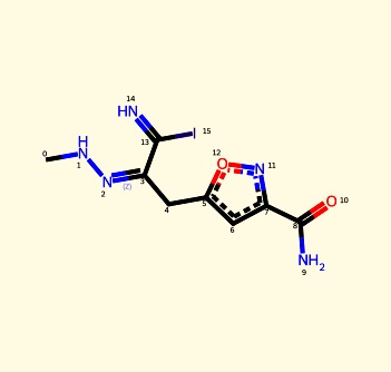 CN/N=C(/Cc1cc(C(N)=O)no1)C(=N)I